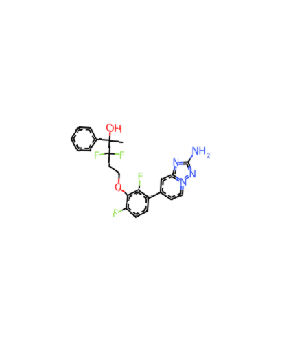 CC(O)(c1ccccc1)C(F)(F)CCOc1c(F)ccc(-c2ccn3nc(N)nc3c2)c1F